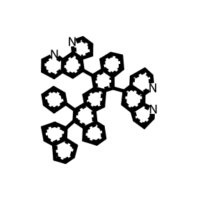 c1ccc(-c2c(-c3cccc4ccccc34)c3ccccc3c3cc4c(-c5cc6cccnc6c6ncccc56)c5ccccc5c(-c5cc6cccnc6c6ncccc56)c4cc23)cc1